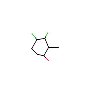 CC1C(O)CCC(Cl)C1Cl